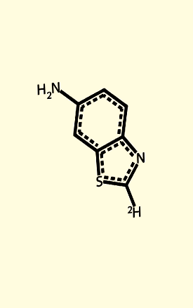 [2H]c1nc2ccc(N)cc2s1